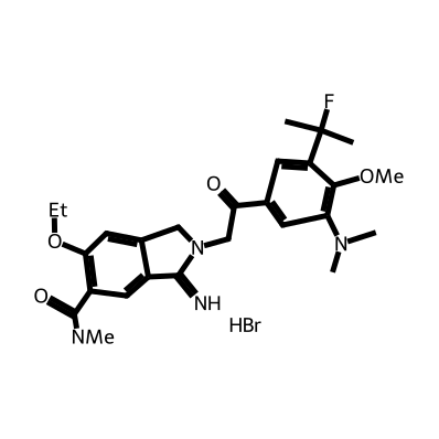 Br.CCOc1cc2c(cc1C(=O)NC)C(=N)N(CC(=O)c1cc(N(C)C)c(OC)c(C(C)(C)F)c1)C2